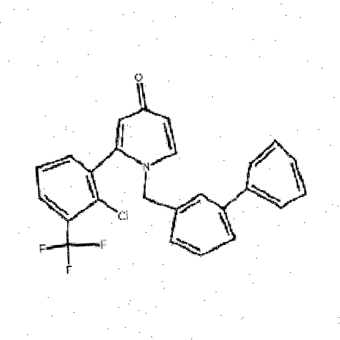 O=c1ccn(Cc2cccc(-c3ccccc3)c2)c(-c2cccc(C(F)(F)F)c2Cl)c1